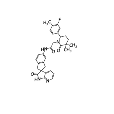 Cc1ccc(C2CCC(C)(C)C(=O)N2CC(=O)Nc2ccc3c(c2)CC2(C3)C(=O)Nc3ncccc32)cc1F